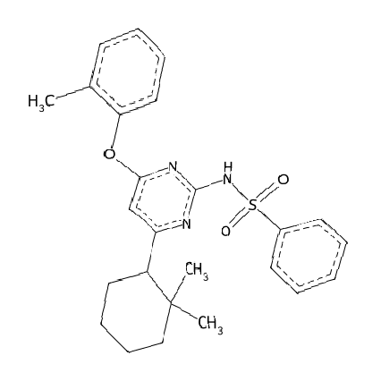 Cc1ccccc1Oc1cc(C2CCCCC2(C)C)nc(NS(=O)(=O)c2ccccc2)n1